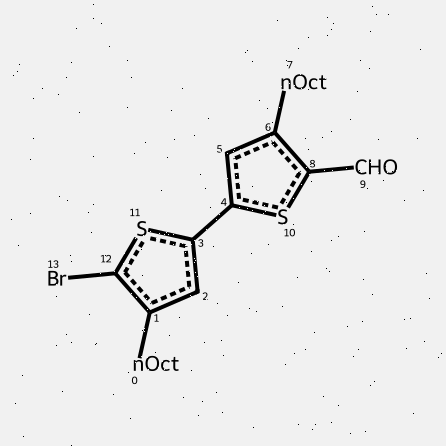 CCCCCCCCc1cc(-c2cc(CCCCCCCC)c(C=O)s2)sc1Br